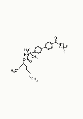 CCCCCC(CCC)OC(=O)NC(C)(C)c1ccc(-c2ccc(C(=O)N3CC(F)(F)C3)cc2)cc1